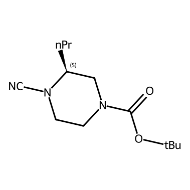 CCC[C@H]1CN(C(=O)OC(C)(C)C)CCN1C#N